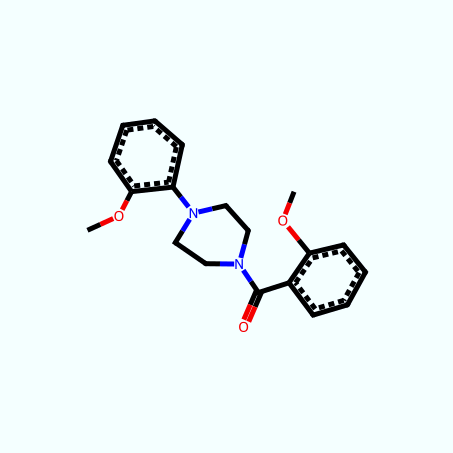 COc1ccccc1C(=O)N1CCN(c2ccccc2OC)CC1